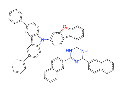 C1=CCCC(c2ccc3c(c2)c2cc(-c4ccccc4)ccc2n3-c2ccc3c(c2)oc2cccc(C4NC(c5ccc6ccccc6c5)=NC(c5ccc6ccccc6c5)N4)c23)=C1